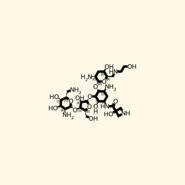 NC[C@@H]1O[C@H](O[C@H]2[C@@H](O)[C@H](OC3[C@@H](O)[C@H](NC(=O)C4(O)CNC4)C[C@H](N)[C@H]3O[C@H]3O[C@H](CNCCO)[C@H](O)C[C@H]3N)O[C@@H]2CO)[C@H](N)[C@@H](O)[C@@H]1O